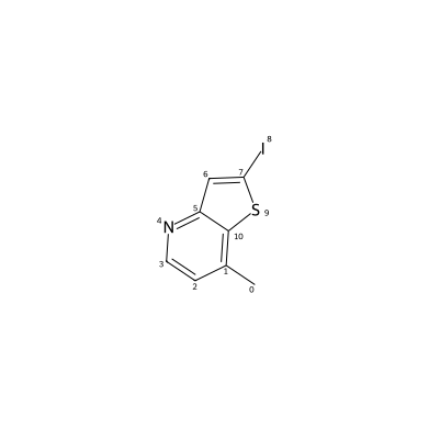 Cc1ccnc2cc(I)sc12